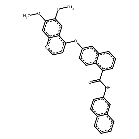 COc1cc2nccc(Oc3ccc4c(C(=O)Nc5ccc6ccccc6c5)cccc4c3)c2cc1OC